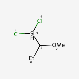 CCC(OC)[SiH](Cl)Cl